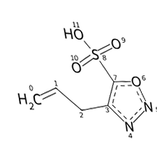 C=CCc1nnoc1S(=O)(=O)O